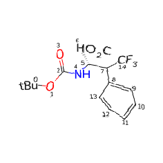 CC(C)(C)OC(=O)N[C@H](C(=O)O)C(c1ccccc1)C(F)(F)F